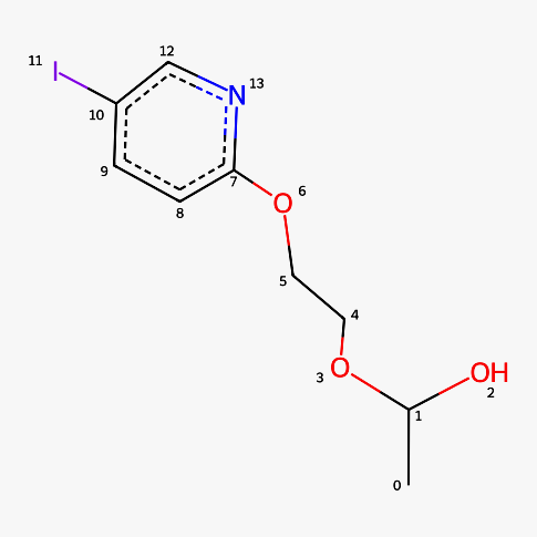 CC(O)OCCOc1ccc(I)cn1